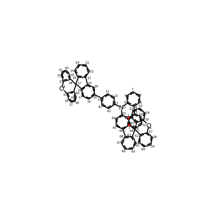 c1ccc(-c2ccccc2N(c2ccc(-c3ccc4c(c3)-c3ccccc3C43c4ccccc4Oc4ccccc43)cc2)c2ccc3c(c2)C2(c4ccccc4Oc4ccccc42)c2ccccc2-3)cc1